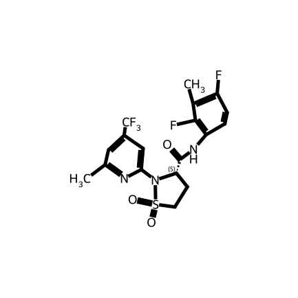 Cc1cc(C(F)(F)F)cc(N2[C@H](C(=O)Nc3ccc(F)c(C)c3F)CCS2(=O)=O)n1